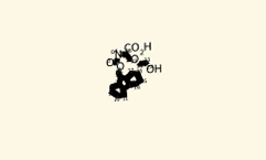 CN(C(=O)OCC1c2ccccc2-c2ccccc21)[C@@H](COCCO)C(=O)O